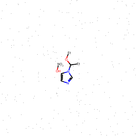 CCOC(CC)n1ccnc1.O=[N+]([O-])O